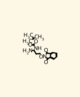 CC(C)(C)OC(=O)NC(N)CCON1C(=O)c2ccccc2C1=O